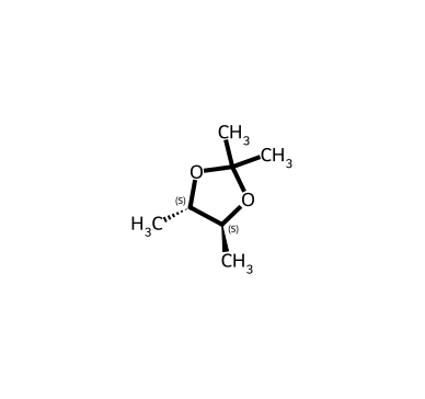 C[C@@H]1OC(C)(C)O[C@H]1C